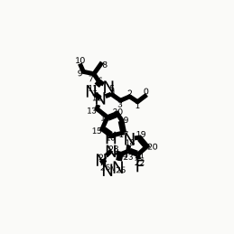 CCCCc1nc(C(C)CC)nn1Cc1ccc(-n2ccc(F)c2-c2nnn[nH]2)cc1